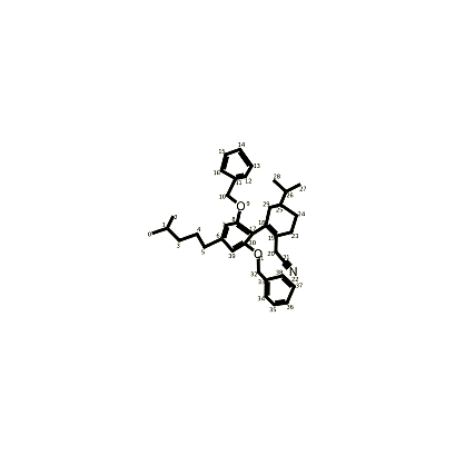 CC(C)CCCc1cc(OCc2ccccc2)c(C2=C(CC#N)CCC(C(C)C)C2)c(OCc2ccccc2)c1